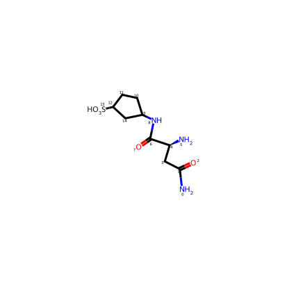 NC(=O)C[C@H](N)C(=O)NC1CCC(S(=O)(=O)O)C1